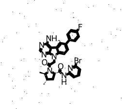 C[C@@H]1[C@@H](C)C[C@@H](C(=O)Nc2cccc(Br)n2)N1C(=O)Cn1c2ccc(-c3ccc(F)cc3)cc2c2c(N)ncnc21